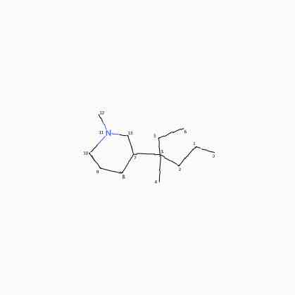 CCCC(C)(CC)C1CCCN(C)C1